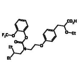 CCOC(Cc1ccc(OCCN(CC(CC)CC)C(=O)Oc2ccccc2OC(F)(F)F)cc1)C(=O)O